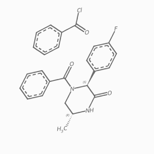 C[C@@H]1CN(C(=O)c2ccccc2)[C@@H](c2ccc(F)cc2)C(=O)N1.O=C(Cl)c1ccccc1